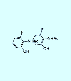 CC(=O)Nc1c(O)cccc1F.CC(=O)Nc1c(O)cccc1F